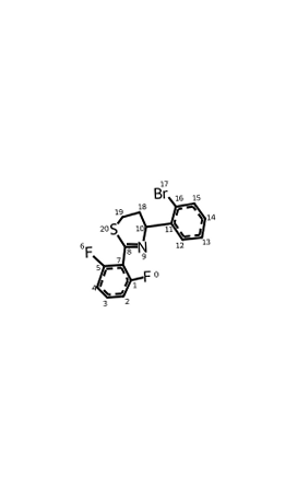 Fc1cccc(F)c1C1=NC(c2ccccc2Br)CCS1